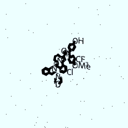 COc1ccc(N(C(=O)c2cc(-c3cc(Cl)ccc3C(=O)N3Cc4ccccc4C[C@H]3CN3CCOCC3)n3c2CCCC3)c2ccc(O)cc2)cc1C(F)(F)F